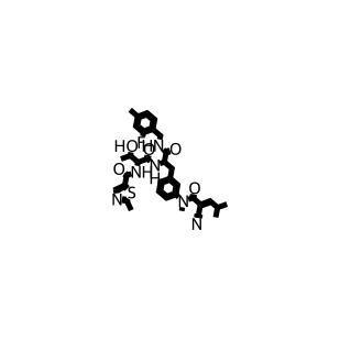 Cc1ccc(CNC(=O)C(Cc2cccc(N(C)C(=O)C(C#N)=CC(C)C)c2)NC(=O)C(NC(=O)c2cnc(C)s2)C(C)O)c(F)c1